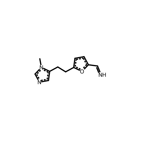 Cn1cncc1CCc1ccc(C=N)o1